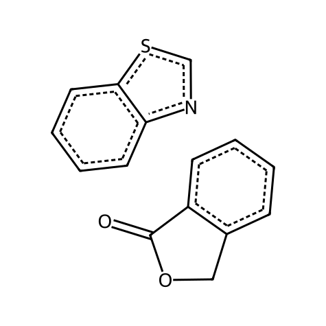 O=C1OCc2ccccc21.c1ccc2scnc2c1